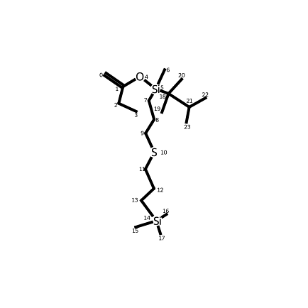 C=C(CC)O[Si](C)(CCCSCCC[Si](C)(C)C)C(C)(C)C(C)C